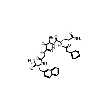 CC[C@H](C)C(NC(=O)[C@H](CCC(N)=O)NC(=O)Cc1ccccc1)C(=O)C(=O)NCC(=O)N[C@@H](Cc1ccc2ccccc2c1)C(N)=O